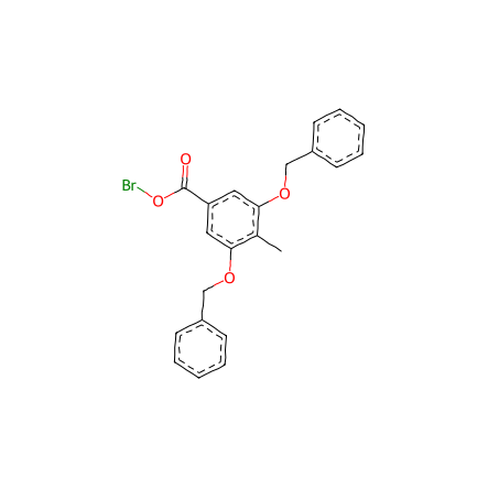 Cc1c(OCc2ccccc2)cc(C(=O)OBr)cc1OCc1ccccc1